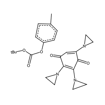 Cc1ccc(OC(=O)OC(C)(C)C)cc1.O=C1C=C(N2CC2)C(=O)C(N2CC2)=C1N1CC1